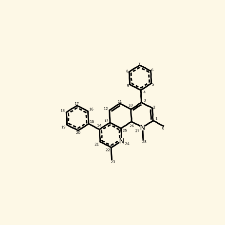 CC1=CC(c2ccccc2)=C2C=Cc3c(-c4ccccc4)cc(C)nc3C2N1C